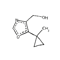 CC1(c2ocnc2CO)CC1